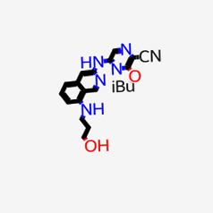 CCC(C)Oc1nc(Nc2cc3cccc(NCCCO)c3cn2)cnc1C#N